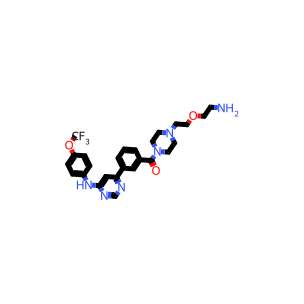 NCCOCCN1CCN(C(=O)c2cccc(-c3cc(Nc4ccc(OC(F)(F)F)cc4)ncn3)c2)CC1